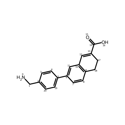 NCc1ccc(-c2ccc3c(c2)C=C(C(=O)O)CC3)cc1